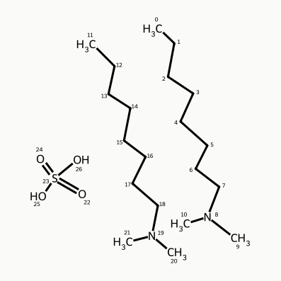 CCCCCCCCN(C)C.CCCCCCCCN(C)C.O=S(=O)(O)O